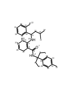 CCC(CC)(NC(=O)C1=C(NC(CC(C)C)c2ccccc2F)N(C)N=CC1)c1ccc(C)cc1